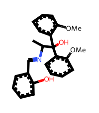 COc1ccccc1C(O)(c1ccccc1OC)C(C)N=Cc1ccccc1O